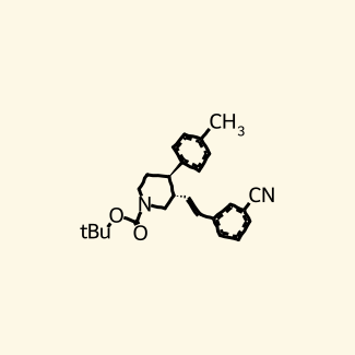 Cc1ccc([C@@H]2CCN(C(=O)OC(C)(C)C)C[C@H]2/C=C/c2cccc(C#N)c2)cc1